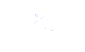 CN(C)C(=O)c1cccc(CNCCC(c2ccccc2)c2cc(N)nc3[nH]nnc23)c1